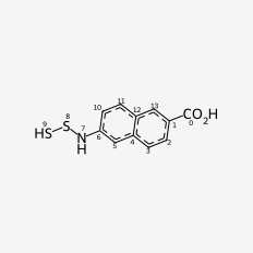 O=C(O)c1ccc2cc(NSS)ccc2c1